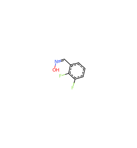 O/N=C\c1cccc(F)c1F